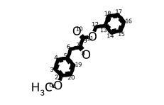 COc1ccc(CC(=O)C(=O)OCc2ccccc2)cc1